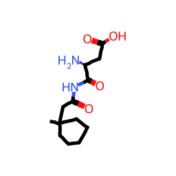 CC1(CC(=O)NC(=O)[C@@H](N)CC(=O)O)CCCCC1